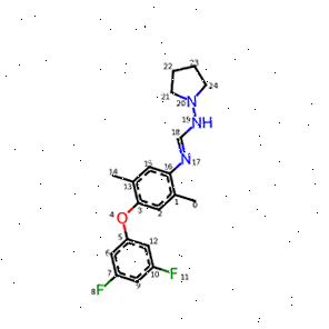 Cc1cc(Oc2cc(F)cc(F)c2)c(C)cc1/N=C/NN1CCCC1